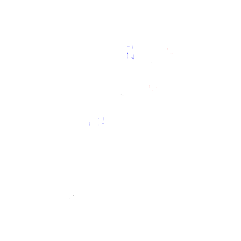 CC(C)C1CC(NC[C@@H]2CNC(=O)O2)C1